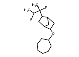 CC(F)[C@](C)(F)C1CC2CC1CC2OC1CCCCCC1